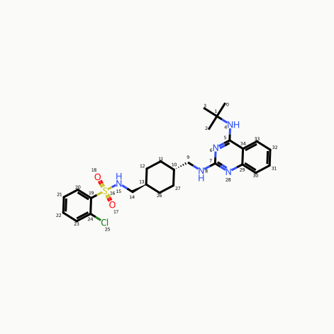 CC(C)(C)Nc1nc(NC[C@H]2CC[C@H](CNS(=O)(=O)c3ccccc3Cl)CC2)nc2ccccc12